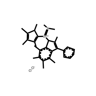 CC1=C(C)C(C)[C]([Zr+2]([CH]2C(C)=C(c3ccccc3)c3c(C)c(C)c(C)c(C)c32)=[Si](C)C)=C1C.[Cl-].[Cl-]